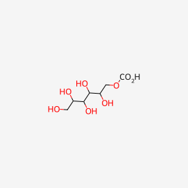 O=C(O)OCC(O)C(O)C(O)C(O)CO